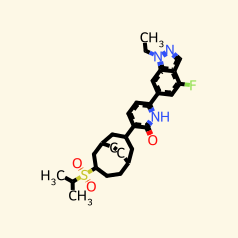 CCn1ncc2c(F)cc(-c3ccc(C4CC5CCC(C4)CC(S(=O)(=O)C(C)C)CC5)c(=O)[nH]3)cc21